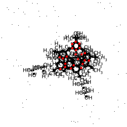 CC(C)(C)c1cc2c(c(C(C)(C)C)c1)OC1(c3c(cc(C(C)(C)C)cc3C(C)(C)C)C2)c2c(cc(C(C)(C)C)cc2C(C)(C)C)Cc2cc(C(C)(C)C)cc(C(C)(C)C)c2[C@]12Oc1c(cc(C(C)(C)C)cc1C(C)(C)C)Cc1cc(C(C)(C)C)cc(C(C)(C)C)c1[C@]21Oc2c(cc(C(C)(C)C)cc2C(C)(C)C)Cc2cc(C(C)(C)C)cc(C(C)(C)C)c2C1O.OP(O)O.OP(O)O.OP(O)O.OP(O)O